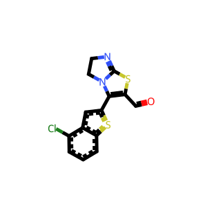 O=CC1=C(c2cc3c(Cl)cccc3s2)N2CCN=C2S1